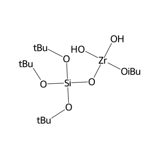 CC(C)C[O][Zr]([OH])([OH])[O][Si](OC(C)(C)C)(OC(C)(C)C)OC(C)(C)C